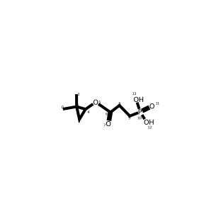 CC1(C)CC1OC(=O)CCP(=O)(O)O